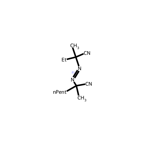 CCCCCC(C)(C#N)/N=N/C(C)(C#N)CC